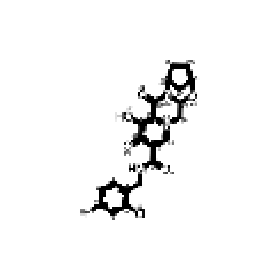 O=C(NCc1ccc(F)cc1Cl)c1cn2c(c(O)c1=O)C(=O)N1C3CCC(C3)OC1C2